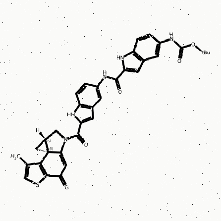 Cc1csc2c1[C@@]13C[C@@H]1CN(C(=O)c1cc4cc(NC(=O)c5cc6cc(NC(=O)OC(C)(C)C)ccc6[nH]5)ccc4[nH]1)C3=CC2=O